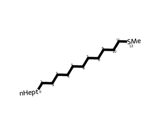 CCCCCCCCCCCCCCCCCCSC